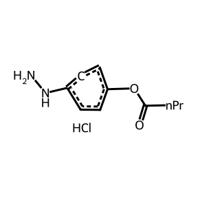 CCCC(=O)Oc1ccc(NN)cc1.Cl